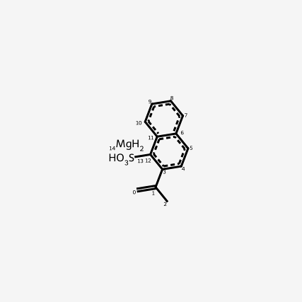 C=C(C)c1ccc2ccccc2c1S(=O)(=O)O.[MgH2]